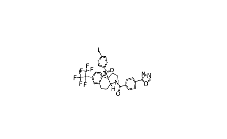 O=C(c1ccc(-c2nnco2)cc1)N1CC[C@@]2(S(=O)(=O)c3ccc(I)cc3)c3ccc(C(F)(C(F)(F)F)C(F)(F)F)cc3CC[C@@H]12